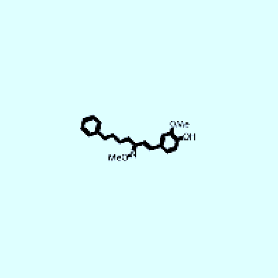 CON=C(C=Cc1ccc(O)c(OC)c1)CCCCc1ccccc1